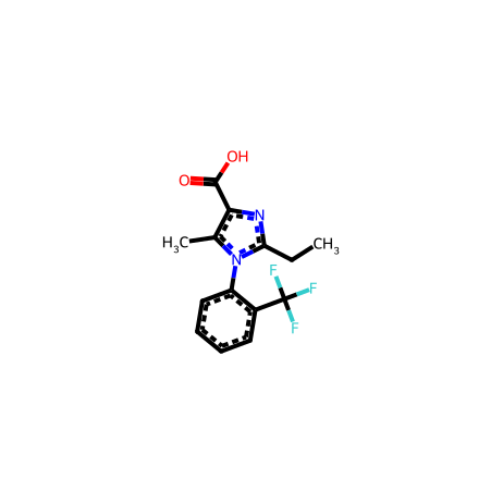 CCc1nc(C(=O)O)c(C)n1-c1ccccc1C(F)(F)F